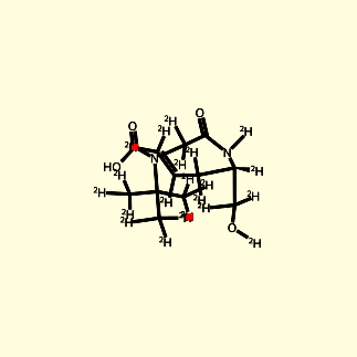 [2H]OC([2H])([2H])[C@@]([2H])(N([2H])C(=O)C([2H])([2H])N(C(=O)O)C(C([2H])([2H])[2H])(C([2H])([2H])[2H])C([2H])([2H])[2H])C([2H])([2H])C([2H])=C([2H])[2H]